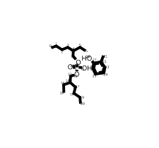 CCCCC(CC)COP(=O)(O)OCC(CC)CCCC.Cc1ccccc1O